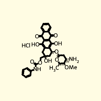 CO[C@@H]1[C@H](C)O[C@@H](O[C@H]2C[C@](O)(COC(=O)Nc3ccccc3)Cc3c(O)c4c(c(O)c32)C(=O)c2ccccc2C4=O)C[C@@H]1N.Cl